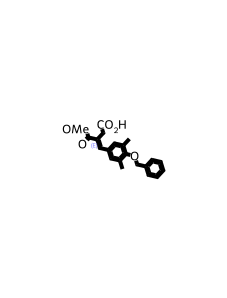 COC(=O)/C(=C/c1cc(C)c(OCc2ccccc2)c(C)c1)CC(=O)O